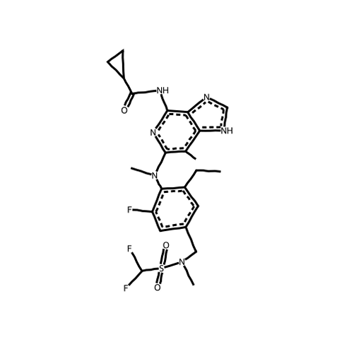 CCc1cc(CN(C)S(=O)(=O)C(F)F)cc(F)c1N(C)c1nc(NC(=O)C2CC2)c2nc[nH]c2c1C